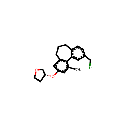 Cc1cc(O[C@@H]2CCOC2)cc2c1-c1cc(CBr)ccc1CCC2